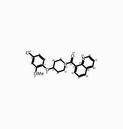 COc1cc(Cl)ccc1OC1CCN(C(=O)c2cccc3cccnc23)CC1